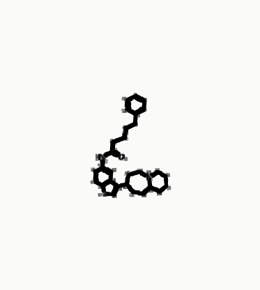 O=C(CCCCc1ccccc1)Nc1ccc2scc(C3CCC4CCCCN4CC3)c2c1